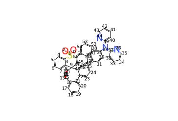 O=S1(=O)c2ccccc2C2(c3ccccc3-c3ccccc3-c3ccc(-c4ccc5c(c4)c4cccnc4n5-c4ccccn4)cc32)c2ccc3ccccc3c21